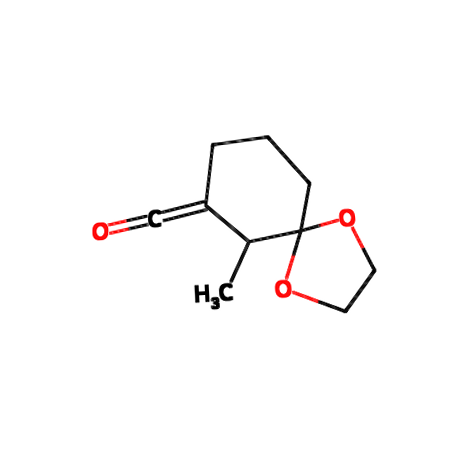 CC1C(=C=O)CCCC12OCCO2